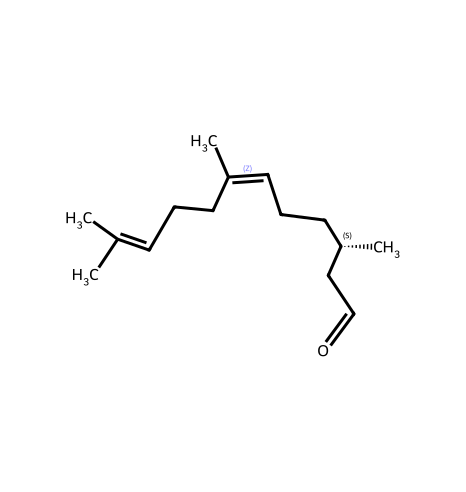 CC(C)=CCC/C(C)=C\CC[C@H](C)CC=O